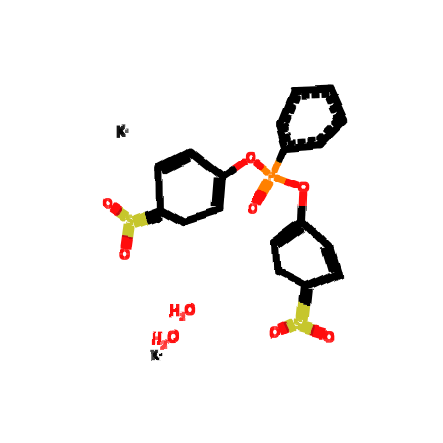 O.O.O=S(=O)=C1C=CC(OP(=O)(OC2=CCC(=S(=O)=O)C=C2)c2ccccc2)=CC1.[K].[K]